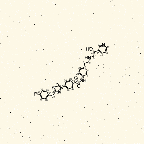 O=S(=O)(Nc1ccc(CCNCC(O)c2cccnc2)cc1)c1ccc(-c2nc(Cc3ccc(F)cc3)no2)cc1